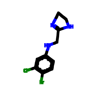 Clc1cc(NCC2=NCCN2)ccc1Br